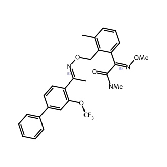 CNC(=O)/C(=N/OC)c1cccc(C)c1CO/N=C(\C)c1ccc(-c2ccccc2)cc1OC(F)(F)F